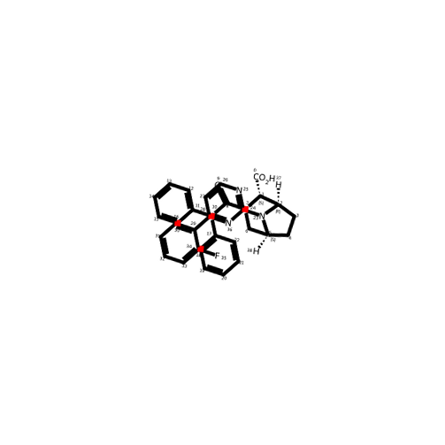 O=C(O)[C@@H]1[C@H]2CC[C@@H](CN1C(=O)N(c1ccccc1)c1ccccc1)N2c1nccc(-c2ccccc2F)n1